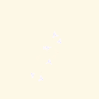 CN1C(=O)[C@@H](NC(=O)c2cn(Cc3ccccc3)cn2)COc2cc3nccnc3cc21